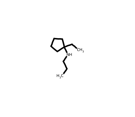 CCCNC1(CC)CCCC1